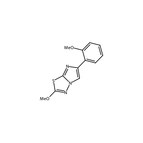 COc1nn2cc(-c3ccccc3OC)nc2s1